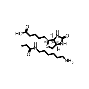 NCCCCCCNC(=O)CI.O=C(O)CCCC[C@@H]1SC[C@@H]2NC(=O)N[C@@H]21